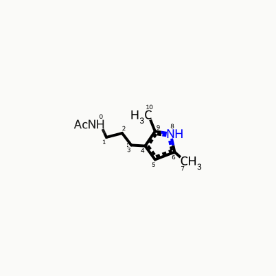 CC(=O)NCC[C]c1cc(C)[nH]c1C